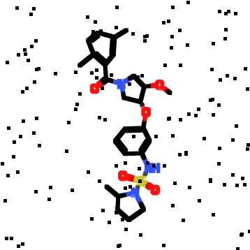 CO[C@@H]1CN(C(=O)c2cc(C)ccc2C)C[C@H]1Oc1cccc(NS(=O)(=O)N2CCCC2C)c1